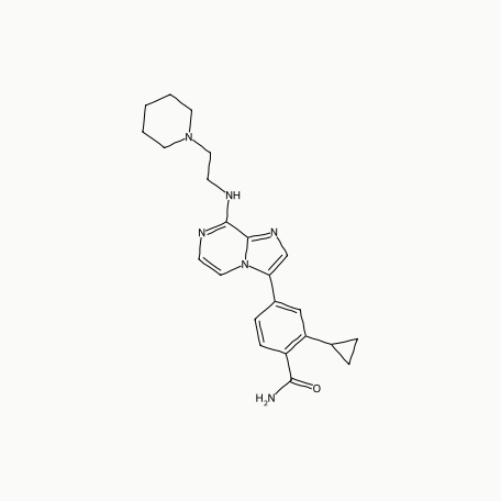 NC(=O)c1ccc(-c2cnc3c(NCCN4CCCCC4)nccn23)cc1C1CC1